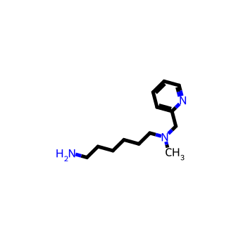 CN(CCCCCCN)Cc1ccccn1